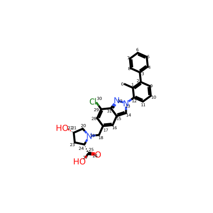 Cc1c(-c2ccccc2)cccc1-n1cc2cc(CN3C[C@@H](O)C[C@H]3C(=O)O)cc(Cl)c2n1